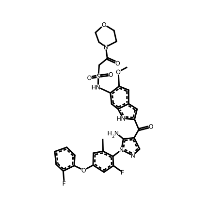 COc1cc2cc(C(=O)c3cnn(-c4c(C)cc(Oc5ccccc5F)cc4F)c3N)[nH]c2cc1NS(=O)(=O)CC(=O)N1CCOCC1